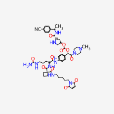 C[C@H](NC(=O)[C@@H]1C[C@@H](OC(=O)OC(C(=O)N2CCN(C)CC2)c2ccc(NC(=O)[C@H](CCCNC(N)=O)NC(=O)C3(C(=O)NCCCCCN4C(=O)C=CC4=O)CCC3)cc2)CN1)c1ccc(C#N)cc1